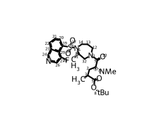 CN[C@H](CC(C)C(=O)OC(C)(C)C)C(=O)N1CCCN(S(=O)(=O)c2cccc3cncc(F)c23)[C@@H](C)C1